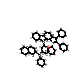 c1ccc(-c2c(-c3ccccc3)n(-c3ccccc3)c3c2ccc2c4ccccc4n(-c4cccc(N(c5ccccc5)c5ccc6ccccc6c5)c4)c23)cc1